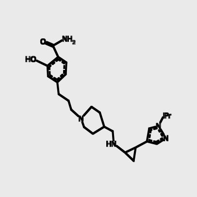 CC(C)n1cc(C2CC2NCC2CCN(CCCc3ccc(C(N)=O)c(O)c3)CC2)cn1